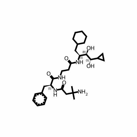 CC(C)(N)CC(=O)N[C@@H](Cc1ccccc1)C(=O)NCCC(=O)N[C@@H](CC1CCCCC1)[C@@H](O)[C@@H](O)C1CC1